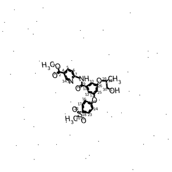 COC(=O)c1ccc(NC(=O)c2cc(Oc3ccc(S(C)(=O)=O)cc3)cc(O[C@@H](C)CO)c2)nc1